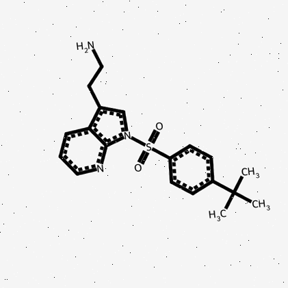 CC(C)(C)c1ccc(S(=O)(=O)n2cc(CCN)c3cccnc32)cc1